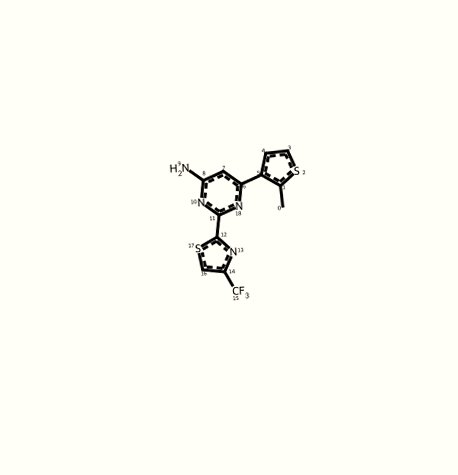 Cc1sccc1-c1cc(N)nc(-c2nc(C(F)(F)F)cs2)n1